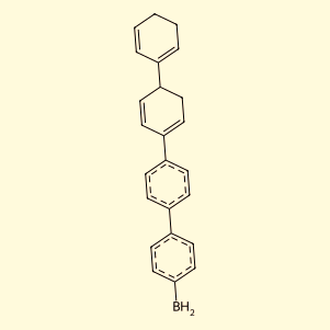 Bc1ccc(-c2ccc(C3=CCC(C4=CCCC=C4)C=C3)cc2)cc1